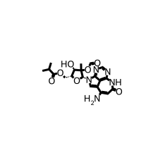 CC(C)C(=O)OC[C@H]1O[C@@H](n2cc3c4c(ncnc42)NC(=O)C=C3N)C(C)(OC=O)[C@@H]1O